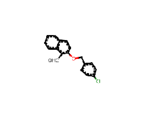 O=Cc1c(OCc2ccc(Cl)cc2)ccc2ccccc12